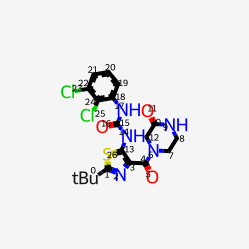 CC(C)(C)c1nc(C(=O)N2CCNC(=O)C2)c(NC(=O)Nc2cccc(Cl)c2Cl)s1